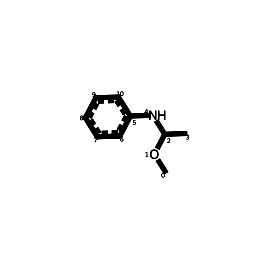 COC(C)Nc1ccccc1